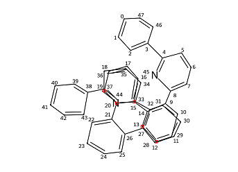 c1ccc(-c2cccc(-c3ccccc3-c3ccccc3-c3ccccc3-c3ccccc3-c3cccc(-c4ccccc4)n3)n2)cc1